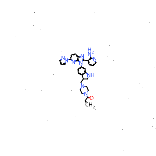 C=CC(=O)N1CCN(CC2CNc3cc(-n4c(-c5cccnc5N)nc5ccc(-n6cccn6)nc54)ccc32)CC1